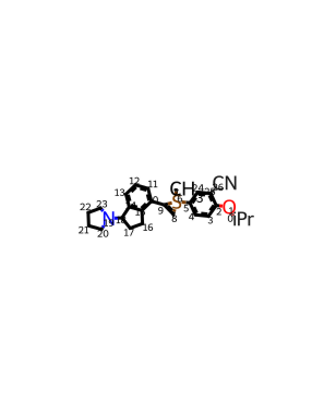 CC(C)Oc1ccc(S2(C)C=C2c2cccc3c2CCC3N2CCCC2)cc1C#N